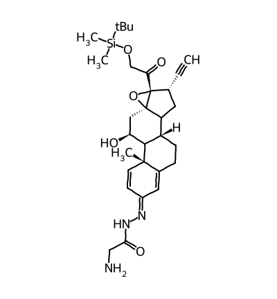 C#C[C@@H]1CC2[C@@H]3CCC4=C/C(=N/NC(=O)CN)C=C[C@]4(C)C3[C@@H](O)C[C@@]23O[C@]13C(=O)CO[Si](C)(C)C(C)(C)C